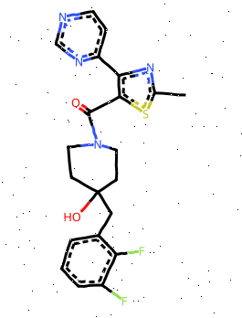 Cc1nc(-c2ccncn2)c(C(=O)N2CCC(O)(Cc3cccc(F)c3F)CC2)s1